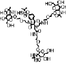 CC(=O)NC1C(OCCOCCNC(=O)CN(CC(=O)NCCOCCOC2OC(CO)C(O)C(O)C2NC(C)=O)C(Cc2ccc(OP(=O)(S)C(C)C)cc2)C(=O)NCCOCCOC2OC(CO)C(O)C(O)C2NC(C)=O)OC(CO)C(O)C1O